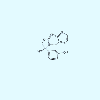 C=C1SCC(O)(c2cccc(O)c2)N1Cc1cccnc1